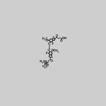 COc1cc2sc(C(=O)CCC(=O)O)cc2c(F)c1OCCCOc1c(OC)cc2sc(C(=O)CCP(=O)(OC)OC)cc2c1F